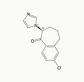 O=C1c2ccc(Cl)cc2CCC[C@@H]1n1ccnc1